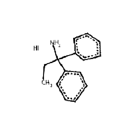 CCC(N)(c1ccccc1)c1ccccc1.I